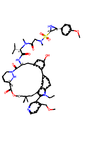 CCn1c(-c2cnccc2COC)c2c3cc(ccc31)-c1cc(O)cc(c1)C[C@H](NC(=O)[C@H](C(C)C)N(C)C(=O)CN(C)S(=O)(=O)[C@H]1N[C@@H]1c1ccc(OC)cc1)C(=O)N1CCC[C@H](N1)C(=O)OCC(C)(C)C2